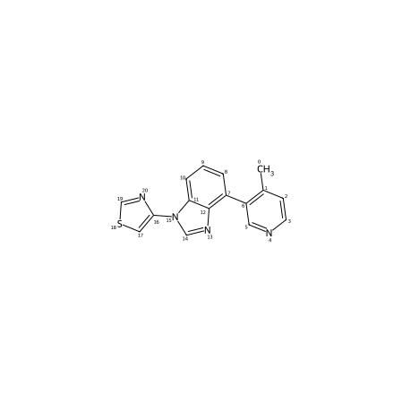 Cc1ccncc1-c1cccc2c1ncn2-c1cscn1